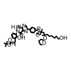 CN(Cc1cccc(NC(=O)c2nc(-c3ccc(S(=O)(=O)C(C)(C)CC(C)(CCCCCCO)OC4CCCCO4)cc3)cnc2N)c1O)C(=O)OC(C)(C)C